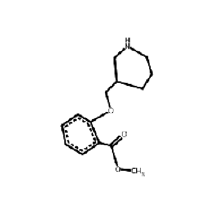 COC(=O)c1ccccc1OCC1CCCNC1